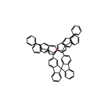 c1ccc(-c2ccc(N(c3ccc(-c4ccccc4)cc3)c3ccc4c(c3)C3(c5ccccc5-4)c4ccccc4-c4ccc(N(c5ccc(-c6ccccc6)cc5)c5ccc(-c6ccccc6)cc5)cc43)cc2)cc1